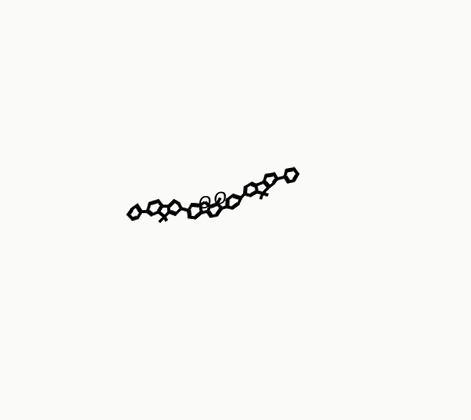 CC1(C)C2=CC(c3ccc4c(c3)oc3c4ccc4c5ccc(-c6ccc7c(c6)C(C)(C)c6cc(-c8ccccc8)ccc6-7)cc5oc43)CC=C2c2ccc(-c3ccccc3)cc21